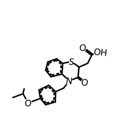 CC(C)Oc1ccc(CN2C(=O)C(CC(=O)O)Sc3ccccc32)cc1